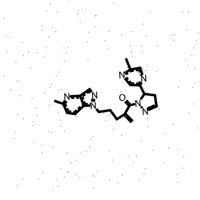 C=C(CCCn1ncc2nc(C)ccc21)C(=O)N1N=CCC1c1cnc(C)cn1